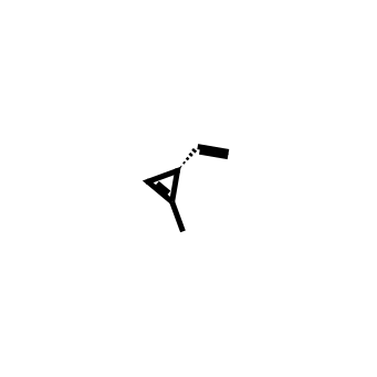 C=C[C@H]1C=C1C